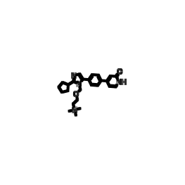 C[Si](C)(C)CCOCn1c(-c2ccc(-c3cc[nH]c(=O)c3)cc2)cnc1C1CCCC1